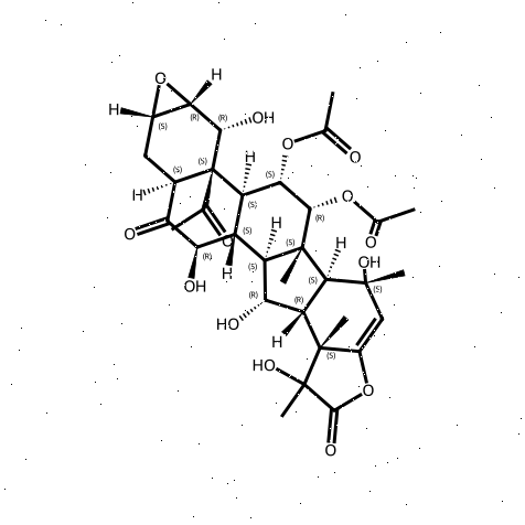 CC(=O)O[C@H]1[C@H]2[C@H]([C@@H]3[C@@H](O)[C@@H]4[C@@H]([C@@]3(C)[C@H]1OC(C)=O)[C@](C)(O)C=C1OC(=O)C(C)(O)[C@@]14C)[C@@H](O)C(=O)[C@H]1C[C@@H]3O[C@@H]3[C@H](O)[C@]21C(C)=O